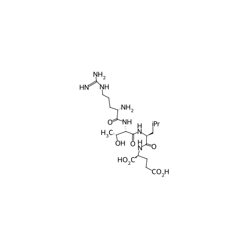 CC(C)C[C@H](NC(=O)[C@@H](NC(=O)[C@@H](N)CCCNC(=N)N)[C@@H](C)O)C(=O)N[C@@H](CCC(=O)O)C(=O)O